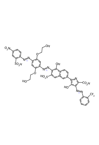 O=C(O)c1nn(-c2ccc3c(O)c(/N=N/c4cc(OCCO)c(/N=N/c5ccc([N+](=O)[O-])cc5S(=O)(=O)O)cc4OCCO)c(S(=O)(=O)O)cc3c2)c(O)c1/N=N/c1ccccc1C(F)(F)F